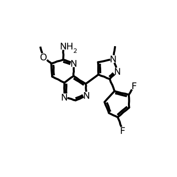 COc1cc2ncnc(-c3cn(C)nc3-c3ccc(F)cc3F)c2nc1N